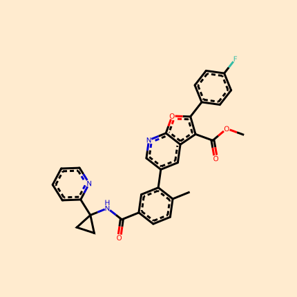 COC(=O)c1c(-c2ccc(F)cc2)oc2ncc(-c3cc(C(=O)NC4(c5ccccn5)CC4)ccc3C)cc12